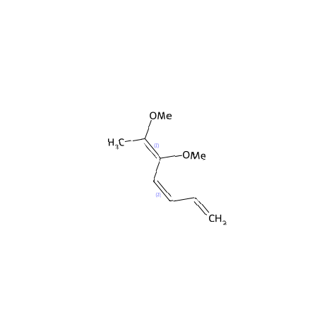 C=C/C=C\C(OC)=C(/C)OC